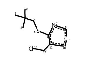 CC(C)(C)CSc1ncccc1CCl